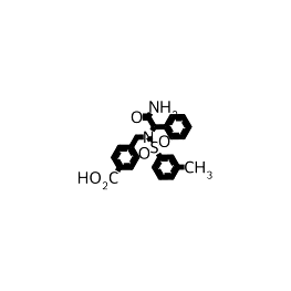 Cc1cccc(S(=O)(=O)N(Cc2ccc(C(=O)O)cc2)C(C(N)=O)c2ccccc2)c1